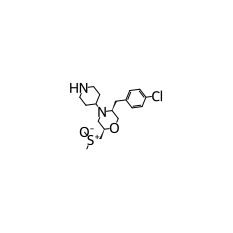 C[S+]([O-])C[C@H]1CN(C2CCNCC2)[C@@H](Cc2ccc(Cl)cc2)CO1